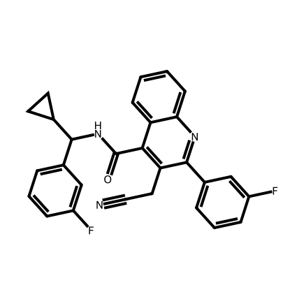 N#CCc1c(-c2cccc(F)c2)nc2ccccc2c1C(=O)NC(c1cccc(F)c1)C1CC1